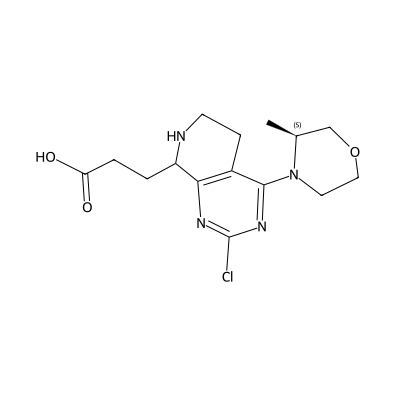 C[C@H]1COCCN1c1nc(Cl)nc2c1CCNC2CCC(=O)O